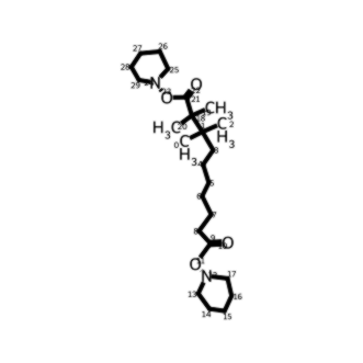 CC(C)(CCCCCCC(=O)ON1CCCCC1)C(C)(C)C(=O)ON1CCCCC1